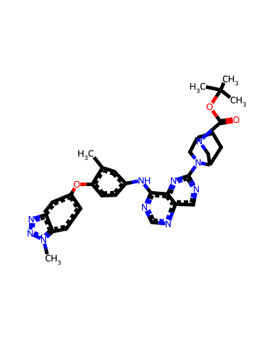 Cc1cc(Nc2ncnc3cnc(N4CC5CCC4CN5C(=O)OC(C)(C)C)nc23)ccc1Oc1ccc2c(c1)nnn2C